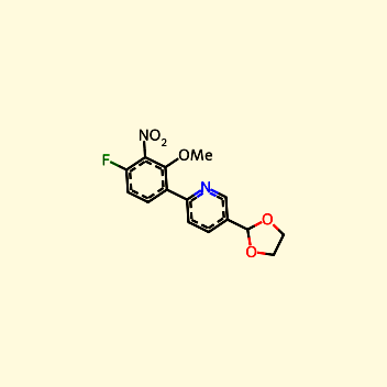 COc1c(-c2ccc(C3OCCO3)cn2)ccc(F)c1[N+](=O)[O-]